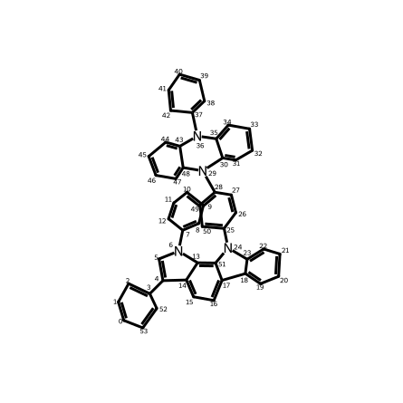 c1ccc(-c2cn(-c3ccccc3)c3c2ccc2c4ccccc4n(-c4ccc(N5c6ccccc6N(c6ccccc6)c6ccccc65)cc4)c23)cc1